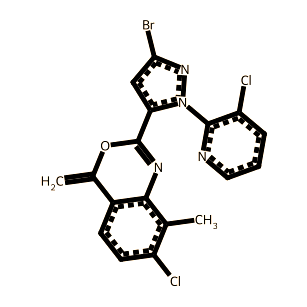 C=C1OC(c2cc(Br)nn2-c2ncccc2Cl)=Nc2c1ccc(Cl)c2C